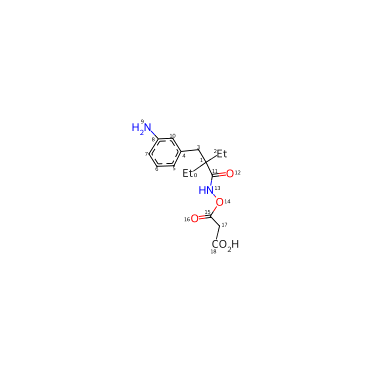 CCC(CC)(Cc1cccc(N)c1)C(=O)NOC(=O)CC(=O)O